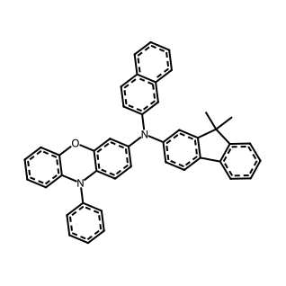 CC1(C)c2ccccc2-c2ccc(N(c3ccc4c(c3)Oc3ccccc3N4c3ccccc3)c3ccc4ccccc4c3)cc21